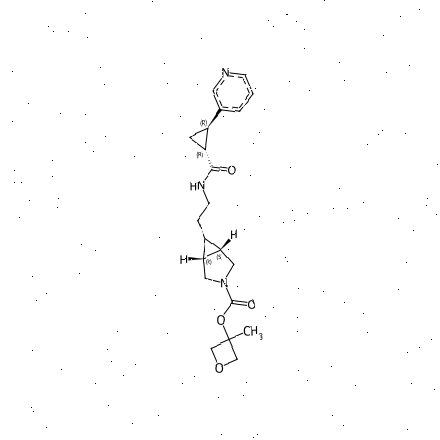 CC1(OC(=O)N2C[C@@H]3C(CCNC(=O)[C@@H]4C[C@H]4c4cccnc4)[C@@H]3C2)COC1